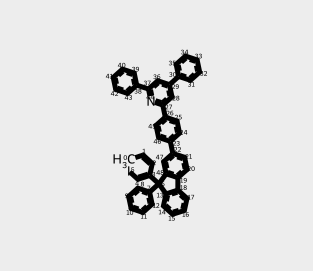 C/C=C\C(=C/I)C1(c2ccccc2)c2ccccc2-c2ccc(-c3ccc(-c4cc(-c5ccccc5)cc(-c5ccccc5)n4)cc3)cc21